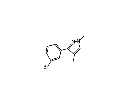 Cc1cn(C)nc1-c1cccc(Br)c1